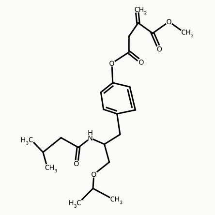 C=C(CC(=O)Oc1ccc(CC(COC(C)C)NC(=O)CC(C)C)cc1)C(=O)OC